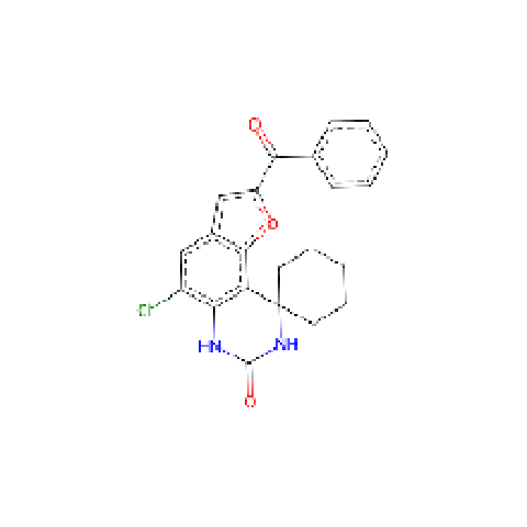 O=C1Nc2c(Cl)cc3cc(C(=O)c4ccccc4)oc3c2C2(CCCCC2)N1